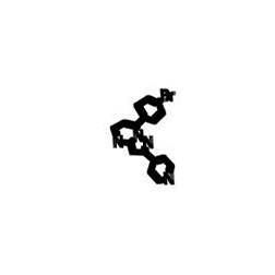 Brc1ccc(-c2ccnc3cc(-c4ccncc4)nn23)cc1